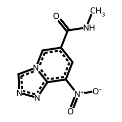 CNC(=O)c1cc([N+](=O)[O-])c2nncn2c1